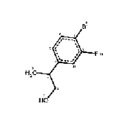 [CH2]C(CO)c1ccc(Br)c(F)c1